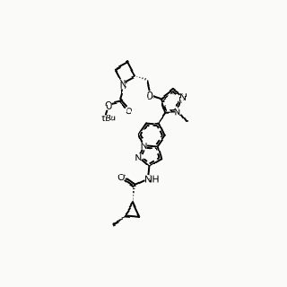 C[C@@H]1C[C@H]1C(=O)Nc1cc2cc(-c3c(OC[C@H]4CCN4C(=O)OC(C)(C)C)cnn3C)ccn2n1